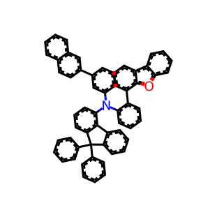 c1ccc(C2(c3ccccc3)c3ccccc3-c3c(N(c4cccc(-c5ccc6ccccc6c5)c4)c4ccccc4-c4cccc5c4oc4ccccc45)cccc32)cc1